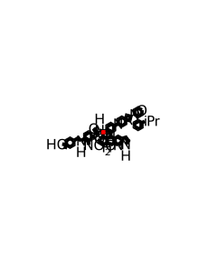 CC(C)c1ccccc1[C@H]1COCCN1[C@@H]1CC2(CCN(c3ccc(C(=O)NS(=O)(=O)c4ccc(NCC5CCC(C)(O)CC5)c([N+](=O)[O-])c4)c(N4c5cc6cc[nH]c6nc5O[C@@H]5CCOC[C@H]54)c3)CC2)[C@@H]1C